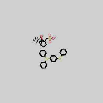 CC1(C)C2CCC1(CS(=O)(=O)[O-])C(=O)C2.c1ccc(Sc2ccc([S+](c3ccccc3)c3ccccc3)cc2)cc1